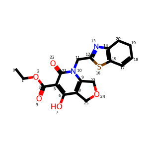 CCOC(=O)c1c(O)c2c(n(Cc3nc4c(s3)C=CCC4)c1=O)COC2